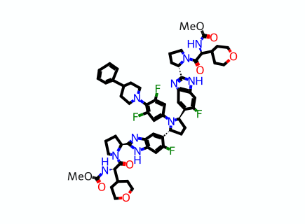 COC(=O)N[C@H](C(=O)N1CCC[C@H]1c1nc2cc([C@H]3CC[C@H](c4cc5nc([C@@H]6CCCN6C(=O)[C@@H](NC(=O)OC)C6CCOCC6)[nH]c5cc4F)N3c3cc(F)c(N4CCC(c5ccccc5)CC4)c(F)c3)c(F)cc2[nH]1)C1CCOCC1